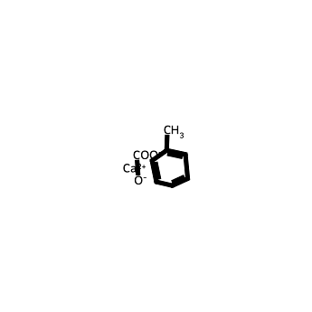 Cc1ccccc1.O=C([O-])[O-].[Ca+2]